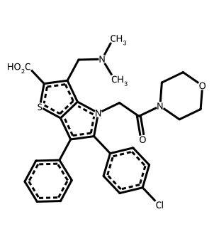 CN(C)Cc1c(C(=O)O)sc2c(-c3ccccc3)c(-c3ccc(Cl)cc3)n(CC(=O)N3CCOCC3)c12